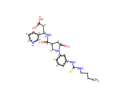 CCCCNC(=S)Nc1cccc(N2CC(C(=O)NC(CC(=O)O)c3cccnc3)CC2=O)c1